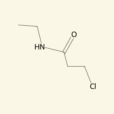 CCNC(=O)CCCl